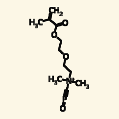 C=C(C)C(=O)OCCOCC[N+](C)(C)C#P=O